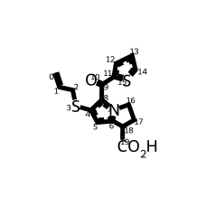 C=CCSc1cc2n(c1C(=O)c1cccs1)CCC2C(=O)O